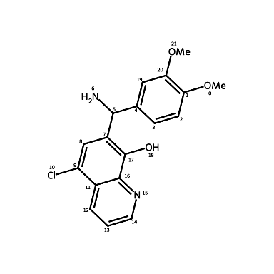 COc1ccc(C(N)c2cc(Cl)c3cccnc3c2O)cc1OC